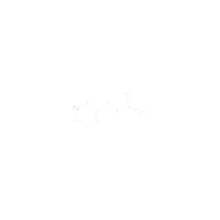 C=S(Cl)CCc1cccnc1